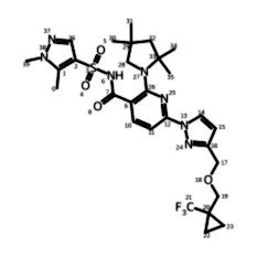 Cc1c(S(=O)(=O)NC(=O)c2ccc(-n3ccc(COCC4(C(F)(F)F)CC4)n3)nc2N2CC(C)(C)CC2(C)C)cnn1C